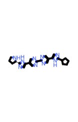 c1nc(-c2ncc(-c3cnc([C@@H]4CCCN4)[nH]3)cn2)ncc1-c1cnc(C2CCCC2)[nH]1